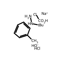 CC(C)(C)NN.Cc1ccccc1.Cl.O=C(O)Cl.[Na+].[OH-]